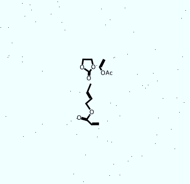 C=CC(=O)OCC=CC.C=COC(C)=O.O=C1OCCO1